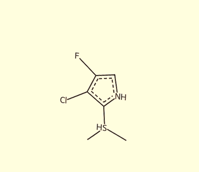 C[SH](C)c1[nH]cc(F)c1Cl